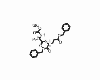 CC(C)[C@@H](NC(=O)OC(C)(C)C)C(=O)N[C@H](CCC(=O)OCc1ccccc1)C(=O)OCc1ccccc1